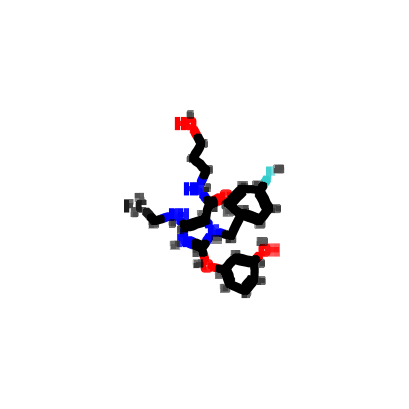 O=C(NCCCO)c1c(NCC(F)(F)F)nc(Oc2cccc(O)c2)n1Cc1ccc(F)cc1